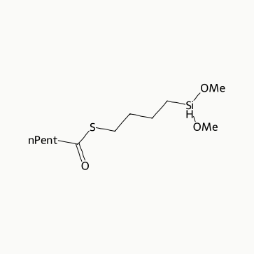 CCCCCC(=O)SCCCC[SiH](OC)OC